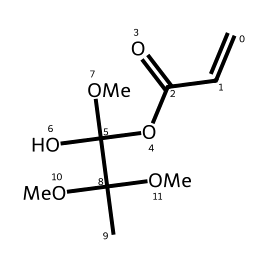 C=CC(=O)OC(O)(OC)C(C)(OC)OC